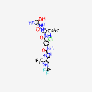 COC1CN(C(=O)N[C@H]2CNC[C@@H]2O)CC1NC(=O)c1ccc(NC(=O)c2ncc(-c3cn(C4CC4(F)F)nc3C(F)(F)F)n2C)cc1Cl